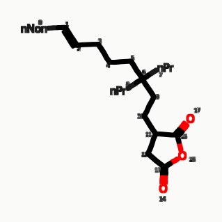 CCCCCCCCCC=CCCCC(CCC)(CCC)CCC1CC(=O)OC1=O